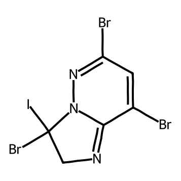 BrC1=CC(Br)=NN2C1=NCC2(Br)I